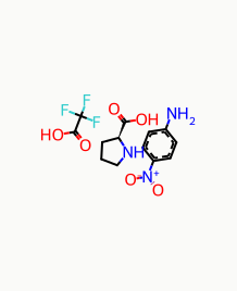 Nc1ccc([N+](=O)[O-])cc1.O=C(O)C(F)(F)F.O=C(O)[C@@H]1CCCN1